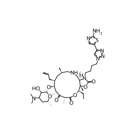 C=CC[C@H]1C[C@@H](C)CN[C@H](C)[C@H]2N(CCCCn3cc(-c4cnc(N)s4)nn3)C(=O)O[C@]2(C)[C@@H](CC)OC(=O)[C@H](C)C(=O)[C@H](C)[C@H]1O[C@@H]1O[C@H](C)CC(N(C)C)C1O